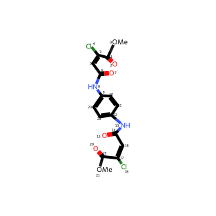 COC(=O)/C(Cl)=C\C(=O)Nc1ccc(NC(=O)/C=C(/Cl)C(=O)OC)cc1